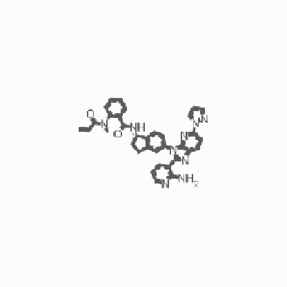 C=CC(=O)N(C)c1ccccc1C(=O)N[C@H]1CCc2cc(-n3c(-c4cccnc4N)nc4ccc(-n5cccn5)nc43)ccc21